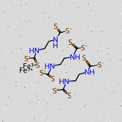 S=C([S-])NCCNC(=S)[S-].S=C([S-])NCCNC(=S)[S-].S=C([S-])NCCNC(=S)[S-].[Fe+3].[Fe+3]